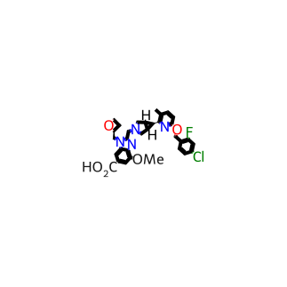 COc1cc(C(=O)O)cc2c1nc(CN1C[C@@H]3[C@H](C1)[C@H]3c1nc(OCc3ccc(Cl)cc3F)ccc1C)n2C[C@@H]1CCO1